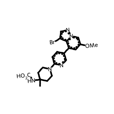 COc1cc(-c2ccc(N3CCC(C)(NC(=O)O)CC3)nc2)c2c(Br)cnn2c1